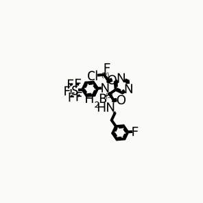 B[C@@](C(=O)NCCc1cccc(F)c1)(c1cncnc1)N(C(=O)[C@H](F)Cl)c1ccc(S(F)(F)(F)(F)F)cc1